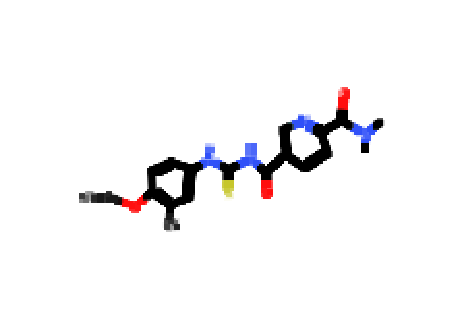 CCCCCOc1ccc(NC(=S)NC(=O)c2ccc(C(=O)N(C)C)nc2)cc1C#N